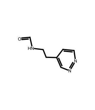 O=CNCCc1ccnnc1